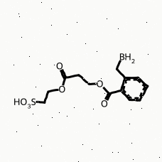 BCc1ccccc1C(=O)OCCC(=O)OCCS(=O)(=O)O